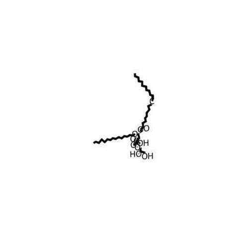 CCCCCCCCCC/C=C\CCCCCCCCCC(=O)OC[C@H](COP(=O)(O)OC[C@@H](O)CO)OC(=O)CCCCCCCCCCCCCC